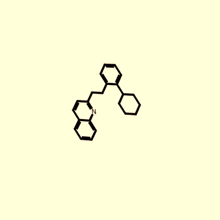 c1ccc(C2CCCCC2)c(CCc2ccc3ccccc3n2)c1